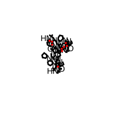 CC1(C)CN(CC(=NC2CCCCC2)c2nc(CCCc3nc(C(CN4CC(C)(C)NC(C)(C)C4=O)=NC4CCCCC4)nc(C(=NC4CCCCC4)C4(N5CC(C)(C)NC(C)(C)C5=O)C5CCN4CC5)n3)nc(C(=NC3CCCCC3)C3(N4CC(C)(C)NC(C)(C)C4=O)C4CCN3CC4)n2)C(=O)C(C)(C)N1